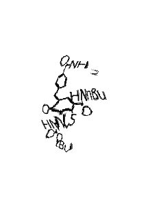 CCCCNC(=O)C1=CC(Cc2ccc(C(N)=O)cc2)C(=O)C2=C1SCN2NC(=O)OC(C)(C)C